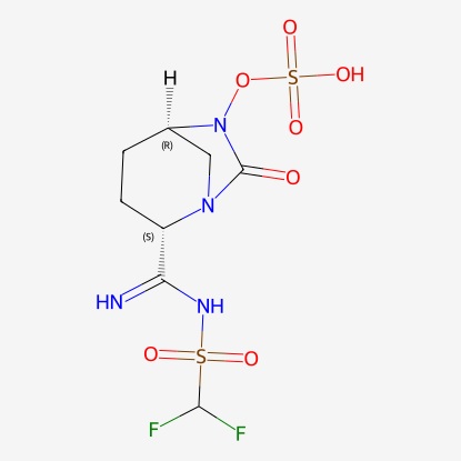 N=C(NS(=O)(=O)C(F)F)[C@@H]1CC[C@@H]2CN1C(=O)N2OS(=O)(=O)O